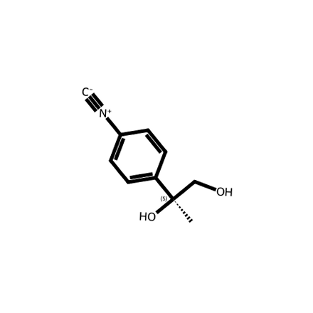 [C-]#[N+]c1ccc([C@](C)(O)CO)cc1